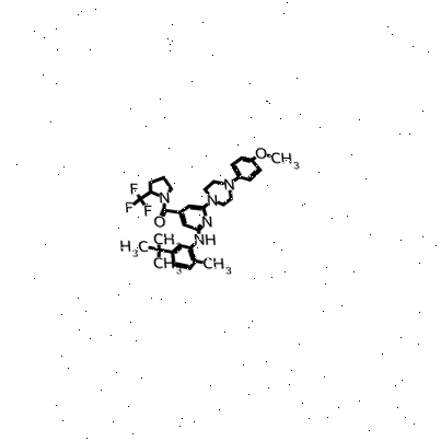 COc1ccc(N2CCN(c3cc(C(=O)N4CCCC4C(F)(F)F)cc(Nc4cc(C(C)(C)C)ccc4C)n3)CC2)cc1